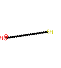 O=C(O)CCCCCCCCCCCCCCCCCCCCCCCCCCCCCCCCCCCCCS